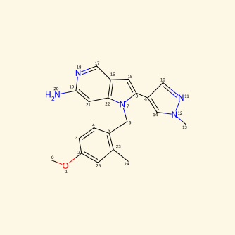 COc1ccc(Cn2c(-c3cnn(C)c3)cc3cnc(N)cc32)c(C)c1